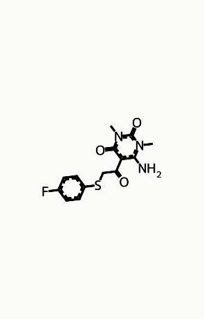 Cn1c(N)c(C(=O)CSc2ccc(F)cc2)c(=O)n(C)c1=O